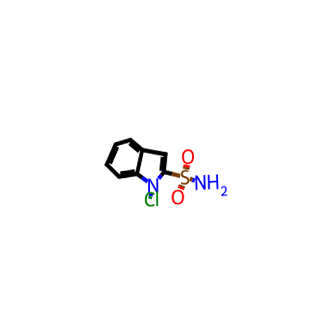 NS(=O)(=O)c1cc2ccccc2n1Cl